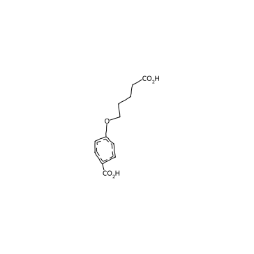 O=C(O)CCCCOc1ccc(C(=O)O)cc1